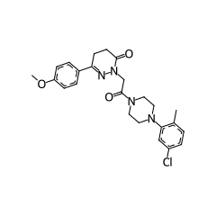 COc1ccc(C2=NN(CC(=O)N3CCN(c4cc(Cl)ccc4C)CC3)C(=O)CC2)cc1